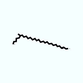 [CH2]CC=CCCCCCCCCCCCCCCCCCCCC(C)CCCC[CH2]